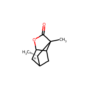 C[C@H]1C2CC3OC(=O)C1(C)C3C2